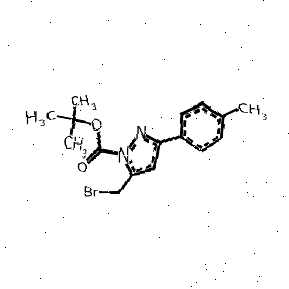 Cc1ccc(-c2cc(CBr)n(C(=O)OC(C)(C)C)n2)cc1